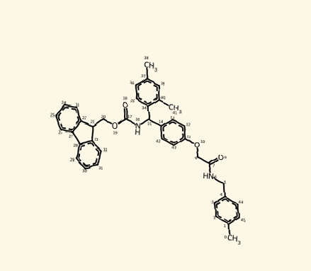 Cc1ccc(CNC(=O)COc2ccc(C(NC(=O)OCC3c4ccccc4-c4ccccc43)c3ccc(C)cc3C)cc2)cc1